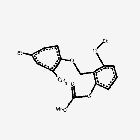 CCOc1cccc(SC(=O)OC)c1COc1ccc(CC)cc1C